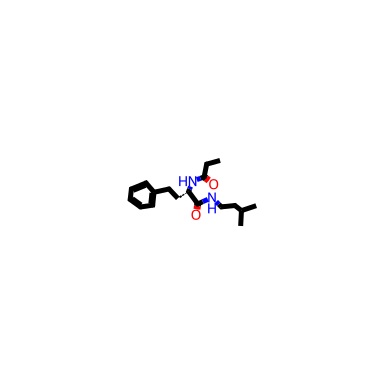 CCC(=O)N[C@@H](CCc1ccccc1)C(=O)NCCC(C)C